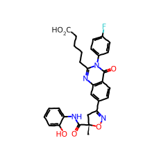 C[C@@]1(C(=O)Nc2ccccc2O)CC(c2ccc3c(=O)n(-c4ccc(F)cc4)c(CCCCC(=O)O)nc3c2)=NO1